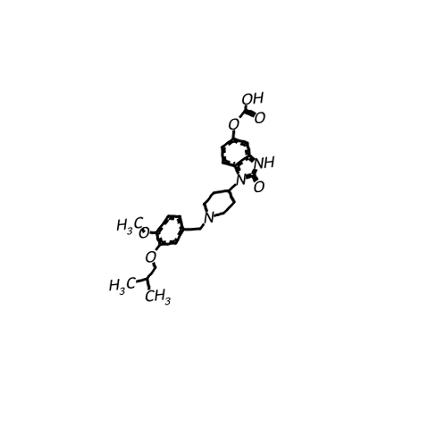 COc1ccc(CN2CCC(n3c(=O)[nH]c4cc(OC(=O)O)ccc43)CC2)cc1OCC(C)C